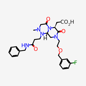 CN1CC(=O)N2[C@@H](CC(=O)O)C(=O)N(CCOCc3cccc(F)c3)C[C@@H]2N1CCC(=O)NCc1ccccc1